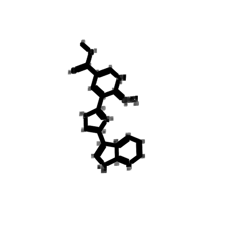 COC(=O)c1c[nH]c(=O)c(-c2nc(-c3c[nH]c4ncccc34)cs2)c1.Cl